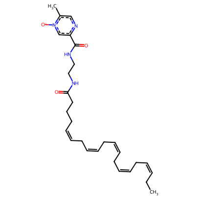 CC/C=C\C/C=C\C/C=C\C/C=C\C/C=C\CCCC(=O)NCCNC(=O)c1c[n+]([O-])c(C)cn1